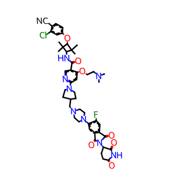 CN(C)CCOc1cc(N2CCC(CN3CCN(c4cc5c(cc4F)C(=O)N(C4CCC(=O)NC4=O)C5=O)CC3)CC2)ncc1C(=O)NC1C(C)(C)C(Oc2ccc(C#N)c(Cl)c2)C1(C)C